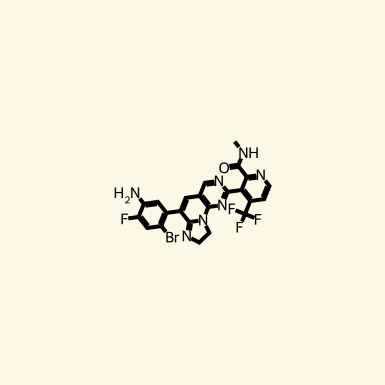 CNC(=O)c1nccc(C(F)(F)F)c1-c1ncc2c(n1)N1CCN=C1C(c1cc(N)c(F)cc1Br)=C2